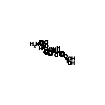 Nc1ccc(Cl)c(C(=O)Nc2ccc3c(c2)-c2[nH]nc(C(=O)Nc4ccc(OCC(O)CO)cc4)c2CC3)c1